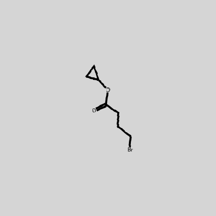 O=C(CCCBr)OC1CC1